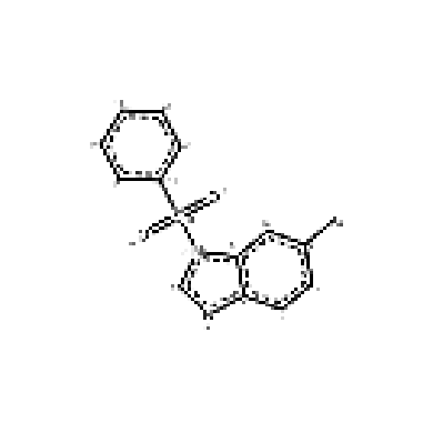 Cc1ccc2ncn(S(=O)(=O)c3ccccc3)c2c1